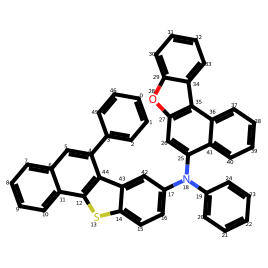 c1ccc(-c2cc3ccccc3c3sc4ccc(N(c5ccccc5)c5cc6oc7ccccc7c6c6ccccc56)cc4c23)cc1